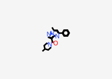 Cc1cc(-c2ccccc2)nc2c(C(=O)N3CCC(C)CC3)cnn12